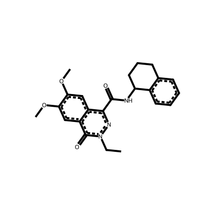 CCn1nc(C(=O)NC2CCCc3ccccc32)c2cc(OC)c(OC)cc2c1=O